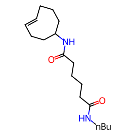 CCCCNC(=O)CCCCC(=O)NC1CC/C=C/CCC1